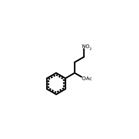 CC(=O)OC(CC[N+](=O)[O-])c1ccccc1